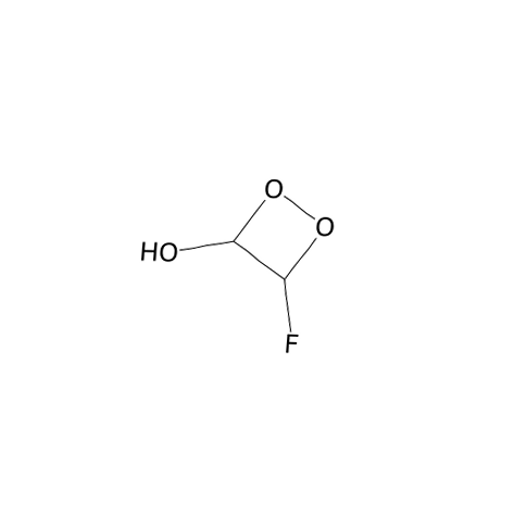 OC1OOC1F